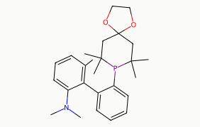 Cc1cccc(N(C)C)c1-c1ccccc1P1C(C)(C)CC2(CC1(C)C)OCCO2